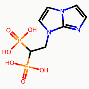 O=P(O)(O)C(Cn1ccn2ccnc12)P(=O)(O)O